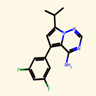 CC(C)c1cc(-c2cc(F)[c]c(F)c2)c2c(N)ncnn12